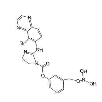 O=C(Oc1cccc(CON(O)O)c1)N1CCN=C1Nc1ccc2nccnc2c1Br